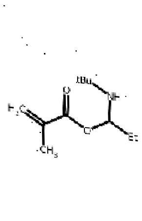 C=C(C)C(=O)OC(CC)NC(C)(C)C